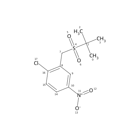 CC(C)(C)S(=O)(=O)Cc1cc([N+](=O)[O-])ccc1Cl